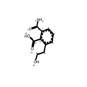 NC(=O)c1cccc(CCO)c1C(=O)O